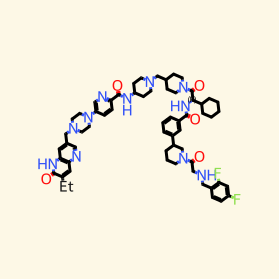 CCc1cc2ncc(CN3CCN(c4ccc(C(=O)NC5CCN(CC6CCN(C(=O)[C@H](NC(=O)c7cccc(C8CCCN(C(=O)CNCc9ccc(F)cc9F)C8)c7)C7CCCCC7)CC6)CC5)nc4)CC3)cc2[nH]c1=O